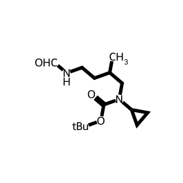 CC(CCNC=O)CN(C(=O)OC(C)(C)C)C1CC1